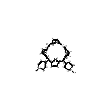 CN1C=CC(c2c3nc(c(C4=CCN(C)C=C4)c4ccc(cc5nc(cc6ccc2[nH]6)C=C5)[nH]4)C=C3)=CC1